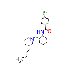 CCCCC1CCCN(CC2CCCCC2NC(=O)c2ccc(Br)cc2)C1